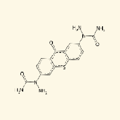 NC(=O)N(N)c1ccc2c(=O)c3cc(N(N)C(N)=O)ccc3sc2c1